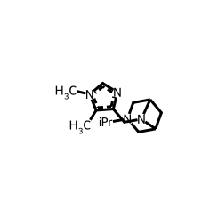 Cc1c(CN2C3CC2CN(C(C)C)C3)ncn1C